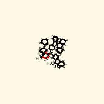 CC1(C)CCC(C)(C)c2c1ccc(-c1ccccc1)c2-c1cc2c(cc1N(c1ccccc1)c1ccc3c(c1)C(C)(C)c1ccccc1-3)C1(c3ccccc3-c3ccccc31)c1ccccc1-2